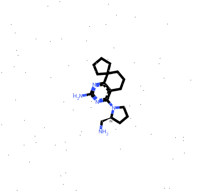 NC[C@@H]1CCCN1c1nc(N)nc2c1CCCC21CCCC1